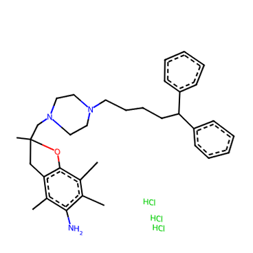 Cc1c(C)c2c(c(C)c1N)CC(C)(CN1CCN(CCCCC(c3ccccc3)c3ccccc3)CC1)O2.Cl.Cl.Cl